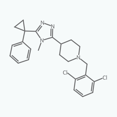 Cn1c(C2CCN(Cc3c(Cl)cccc3Cl)CC2)nnc1C1(c2ccccc2)CC1